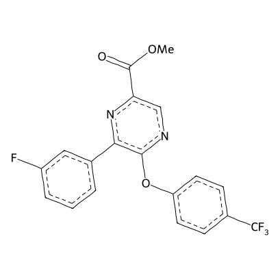 COC(=O)c1cnc(Oc2ccc(C(F)(F)F)cc2)c(-c2cccc(F)c2)n1